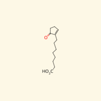 O=C(O)CCCCCCCC1=CCCC1=O